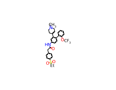 CCS(=O)(=O)c1ccc(CC(=O)Nc2ccc(-c3ccccc3OC(F)(F)F)c(C3=CCN(C)CC3)c2)cc1